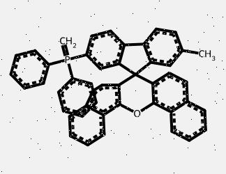 C=P(c1ccccc1)(c1ccccc1)c1ccc2c(c1)C1(c3cc(C)ccc3-2)c2ccc3ccccc3c2Oc2c1ccc1ccccc21